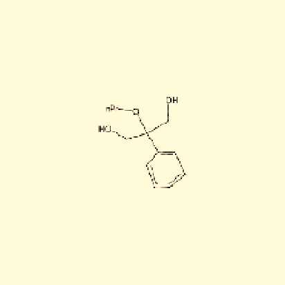 CCCOC(CO)(CO)c1ccccc1